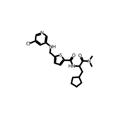 CN(C)C(=O)C(CC1CCCC1)NC(=O)c1ccc(CNc2cncc(Cl)c2)s1